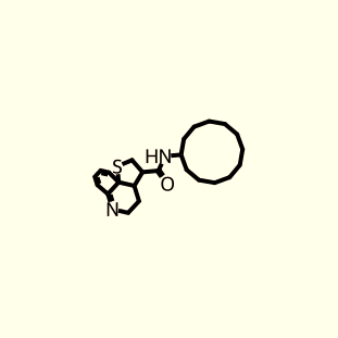 O=C(NC1CCCCCCCCCCC1)C1CSC23C=CC=CC2=NCCC13